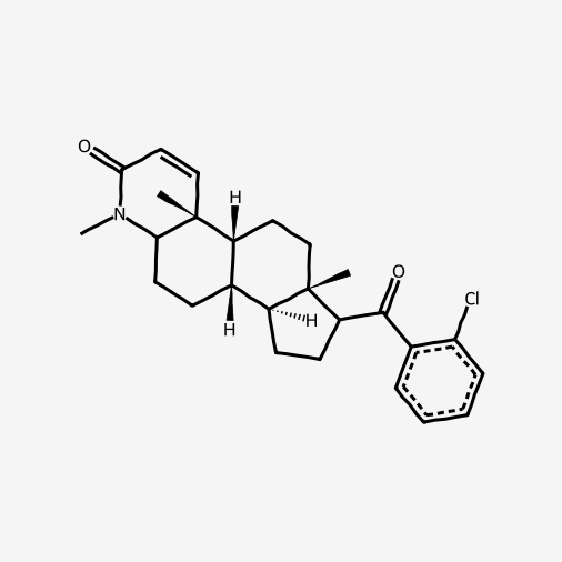 CN1C(=O)C=C[C@@]2(C)C1CC[C@@H]1[C@H]2CC[C@]2(C)C(C(=O)c3ccccc3Cl)CC[C@@H]12